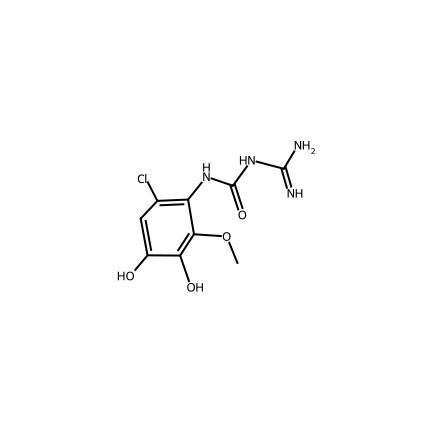 COc1c(O)c(O)cc(Cl)c1NC(=O)NC(=N)N